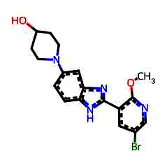 COc1ncc(Br)cc1-c1nc2cc(N3CCC(O)CC3)ccc2[nH]1